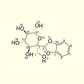 OC[C@@]1(C2Oc3ccccc3O2)O[C@@H](O)[C@H](O)[C@@H](O)[C@@H]1O